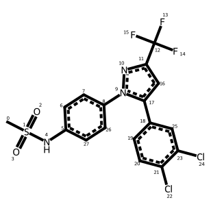 CS(=O)(=O)Nc1ccc(-n2nc(C(F)(F)F)cc2-c2ccc(Cl)c(Cl)c2)cc1